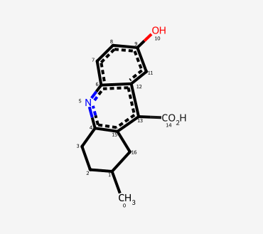 CC1CCc2nc3ccc(O)cc3c(C(=O)O)c2C1